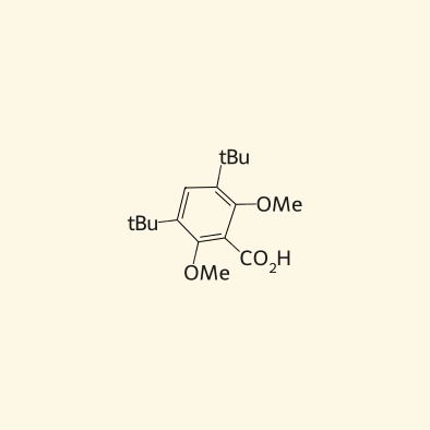 COc1c(C(C)(C)C)cc(C(C)(C)C)c(OC)c1C(=O)O